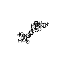 CN1CCN(C(=O)C2C(C(=O)Oc3ccc(CC(NC(=O)OC(C)(C)C)C(=O)O)cc3)[C@H]3C=C[C@@H]2O3)CC1